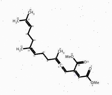 COC(=O)/C=C(/C=C=C(C)CCC=C(C)CCC=C(C)C)C(=O)OC